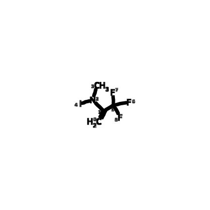 C=C(N(C)I)C(F)(F)F